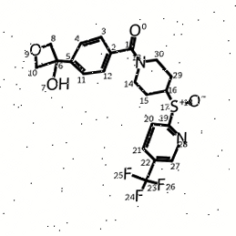 O=C(c1ccc(C2(O)COC2)cc1)N1CCC([S+]([O-])c2ccc(C(F)(F)F)cn2)CC1